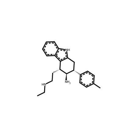 CCNCC[C@@H]1c2c([nH]c3ccccc23)C[C@H](c2ccc(C)cc2)[C@H]1N